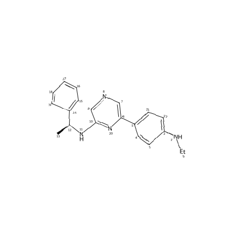 CCNc1ccc(-c2cncc(N[C@@H](C)c3ccccc3)n2)cc1